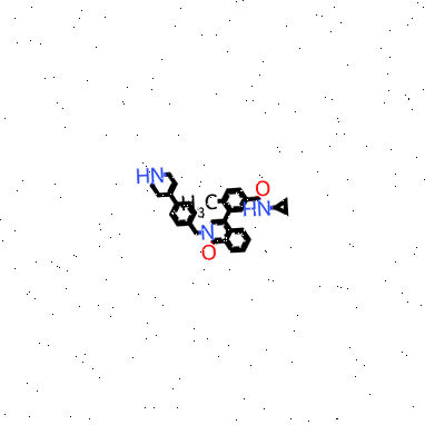 Cc1ccc(C(=O)NC2CC2)cc1-c1cn(Cc2ccc(C3=CCNCC3)cc2)c(=O)c2ccccc12